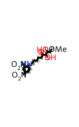 COC[C@H](O)C(O)C(=O)CCCCCNc1ccc([N+](=O)[O-])cc1[N+](=O)[O-]